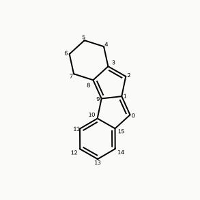 C1=C2C=C3CCCCC3=C2c2ccccc21